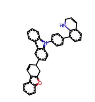 C1=Cc2cccc(-c3ccc(-n4c5ccccc5c5cc(C6C=Cc7c(oc8ccccc78)C6)ccc54)cc3)c2NC1